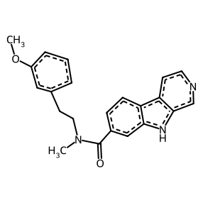 COc1cccc(CCN(C)C(=O)c2ccc3c(c2)[nH]c2cnccc23)c1